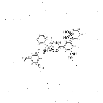 CCNc1cc(C(=O)N[C@@H](Cc2ccccc2)[C@@H](O)CNCc2cc(C(F)(F)F)cc(C(F)(F)F)c2)cc(N2CCCCS2(O)O)c1